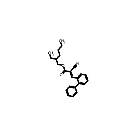 CCCCC(CC)COC(=O)/C(C#N)=C/c1ccccc1-c1ccccc1